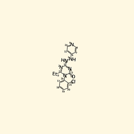 CCc1nc(NNc2ccncc2)nc(=O)n1-c1ccccc1Cl